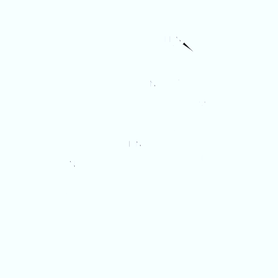 CC(C)[C@H](N)C(=O)N1CCC[C@H]1C(=O)N[C@@H](Cc1c[nH]c2ccccc12)C(=O)O